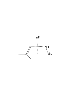 CCCC(C)(C=C(C)C)NC(C)(C)C